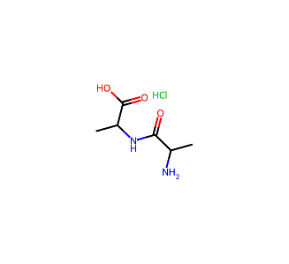 CC(N)C(=O)NC(C)C(=O)O.Cl